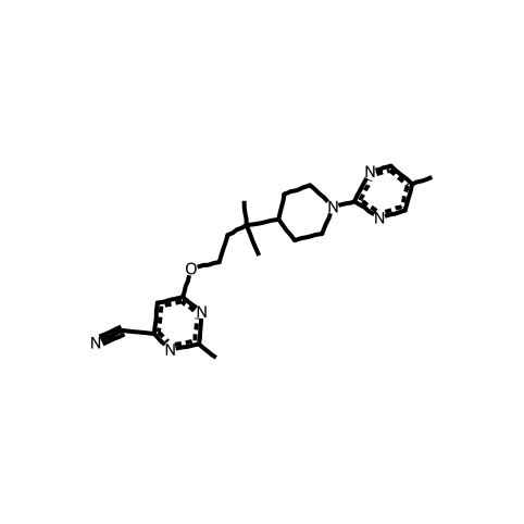 Cc1cnc(N2CCC(C(C)(C)CCOc3cc(C#N)nc(C)n3)CC2)nc1